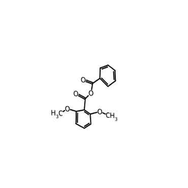 COc1cccc(OC)c1C(=O)OC(=O)c1ccccc1